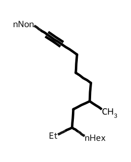 [CH2]CCCCCCCCC#CCCCC(C)CC(CC)CCCCC[CH2]